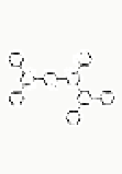 c1ccc(-c2cc(-c3ccccc3)cc(-c3cc(-c4ccccn4)nc(-c4ccc(-c5nc(-c6ccccc6)cc(-c6ccccc6)n5)cn4)c3)c2)cc1